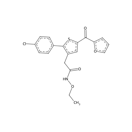 CCONC(=O)Cc1cc(C(=O)c2ccco2)sc1-c1ccc(Cl)cc1